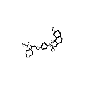 CC(COc1ccc(-n2nc3c(cc2=O)CCc2ccc(F)cc2-3)cc1)N1CCOCC1